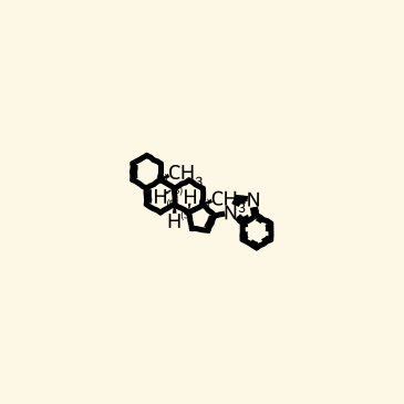 C[C@]12CCC=CC1=CC[C@@H]1[C@@H]2CC[C@]2(C)C(n3cnc4ccccc43)=CC[C@@H]12